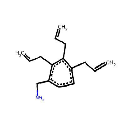 C=CCc1ccc(CN)c(CC=C)c1CC=C